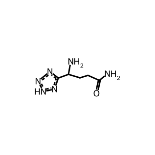 NC(=O)CCC(N)c1nn[nH]n1